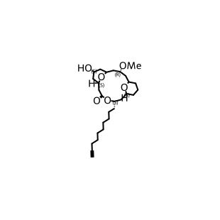 C#CCCCCCCCC[C@H]1C[C@@H]2CCCC(C[C@@H](OC)CC3C[C@H](O)C[C@@H](CC(=O)O1)O3)O2